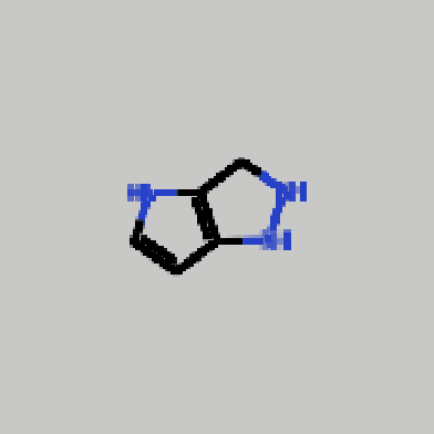 c1cc2c([nH]1)CNN2